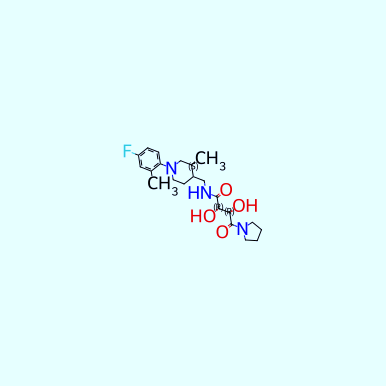 Cc1cc(F)ccc1N1CCC(CNC(=O)[C@H](O)[C@@H](O)C(=O)N2CCCC2)[C@H](C)C1